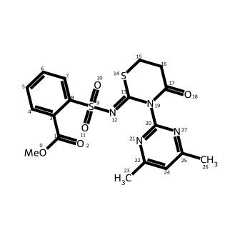 COC(=O)c1ccccc1S(=O)(=O)/N=C1\SCCC(=O)N1c1nc(C)cc(C)n1